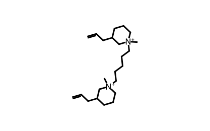 C=CCC1CCC[N+](C)(CCCCC[N+]2(C)CCCC(CC=C)C2)C1